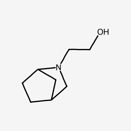 OCCN1CC2CCC1C2